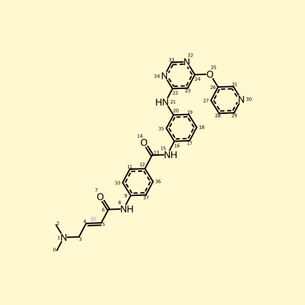 CN(C)C/C=C/C(=O)Nc1ccc(C(=O)Nc2cccc(Nc3cc(Oc4cccnc4)ncn3)c2)cc1